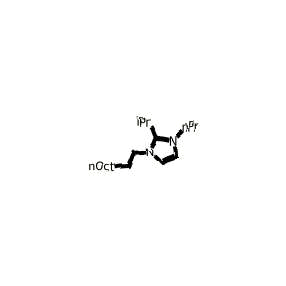 CCCCCCCCCCN1C=CN(CCC)C1C(C)C